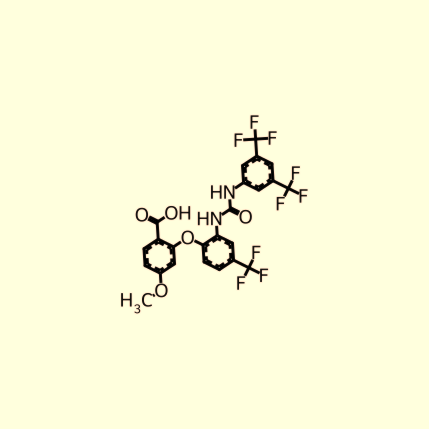 COc1ccc(C(=O)O)c(Oc2ccc(C(F)(F)F)cc2NC(=O)Nc2cc(C(F)(F)F)cc(C(F)(F)F)c2)c1